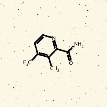 Cc1c(C(F)(F)F)ccnc1C(N)=O